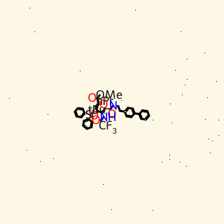 CCCN(CCc1ccc(-c2ccccc2)cc1)C(=O)[C@@H]1OC(C(=O)OC)=C[C@@H](O[Si](c2ccccc2)(c2ccccc2)C(C)(C)C)[C@H]1NC(=O)C(F)(F)F